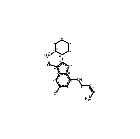 C/C=C\CNc1cc(Cl)nc2c(Cl)c([C@H]3CCCC[C@@H]3N)sc12